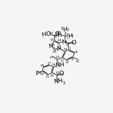 [2H]C([2H])([2H])n1c(=O)c2cc(C)cc(C(C)Nc3ccc(F)cc3C(N)=O)c2n2cnc(C(=O)O)c12